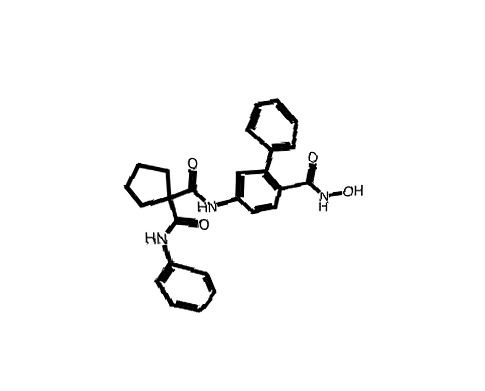 O=C(NO)c1ccc(NC(=O)C2(C(=O)Nc3ccccc3)CCCC2)cc1-c1ccccc1